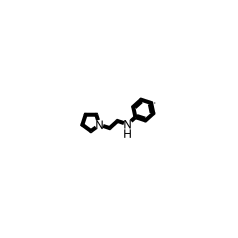 [c]1ccc(NCCN2CCCC2)cc1